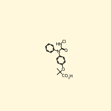 CC(C)(Oc1ccc(N(C(=O)NCl)c2ccccc2)cc1)C(=O)O